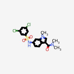 CN(C)C(=O)c1cn(C)c2cc(NS(=O)(=O)c3cc(Cl)cc(Cl)c3)ccc12